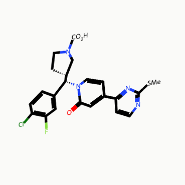 CSc1nccc(-c2ccn([C@H](c3ccc(Cl)c(F)c3)[C@@H]3CCN(C(=O)O)C3)c(=O)c2)n1